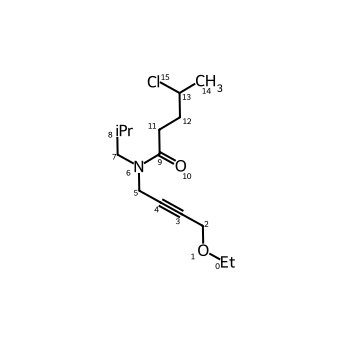 CCOCC#CCN(CC(C)C)C(=O)CCC(C)Cl